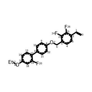 C=Cc1ccc(COc2ccc(-c3ccc(OCC)cc3F)cc2)c(F)c1F